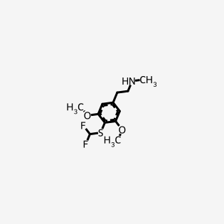 CNCCc1cc(OC)c(SC(F)F)c(OC)c1